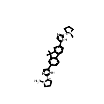 BN1CCC[C@H]1c1ncc(-c2ccc3c(c2)C(C)(C)c2cc(-c4cnc([C@@H]5CCCN5C)[nH]4)ccc2-3)[nH]1